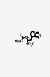 CC(C)(C)OC(=O)NC(CC1CCn2cnnc21)C(=O)O